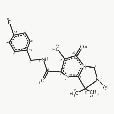 CC(=O)N1Cn2c(nc(C(=O)NCc3ccc(F)cc3)c(O)c2=O)C1(C)C